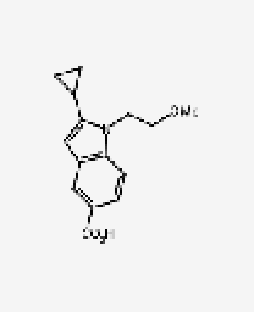 COCCn1c(C2CC2)cc2cc(C(=O)O)ccc21